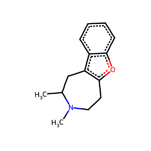 CC1Cc2c(oc3ccccc23)CCN1C